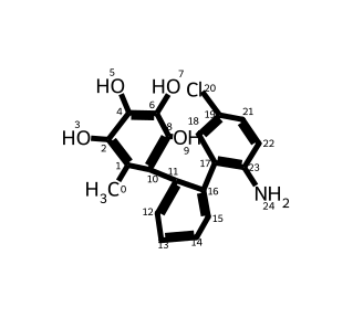 Cc1c(O)c(O)c(O)c(O)c1-c1ccccc1-c1cc(Cl)ccc1N